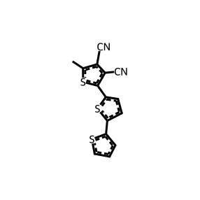 Cc1sc(-c2ccc(-c3cccs3)s2)c(C#N)c1C#N